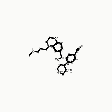 COCCCN1CCOc2ccc(CO[C@H]3CNC[C@@H](O)C3c3ccc(C#N)cc3)cc21